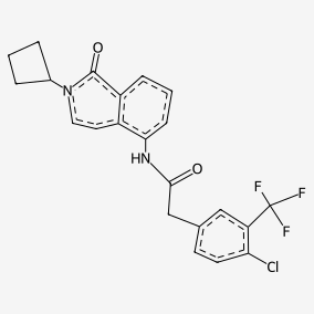 O=C(Cc1ccc(Cl)c(C(F)(F)F)c1)Nc1cccc2c(=O)n(C3CCC3)ccc12